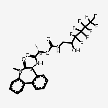 C[C@H](OC(=O)NCC(O)C(F)(F)C(F)(F)C(F)(F)C(F)(F)F)C(=O)N[C@@H]1C(=O)N(C)c2ccccc2-c2ccccc21